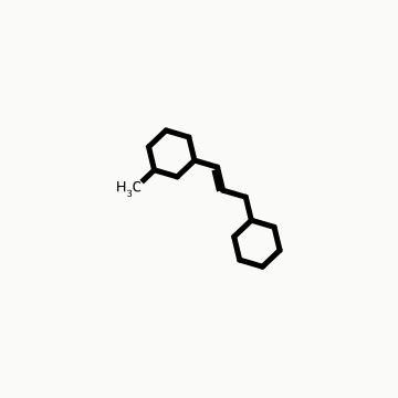 CC1CCCC(C=CCC2CCCCC2)C1